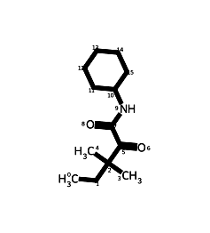 CCC(C)(C)C(=O)C(=O)NC1CCCCC1